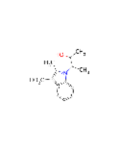 Cc1c(C(=O)O)c2ccccc2n1C(C)C(C)O